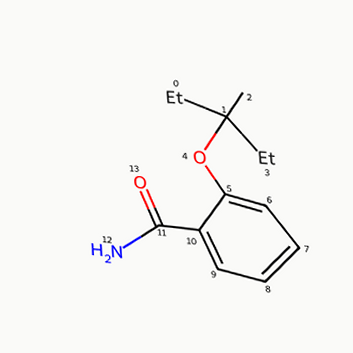 CCC(C)(CC)Oc1ccccc1C(N)=O